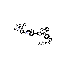 CCCCCCOc1ccc(N2c3ccccc3Sc3cc(-c4ccc(/C=C/c5ccc(/C=C(\C#N)C(=O)O)s5)o4)ccc32)cc1